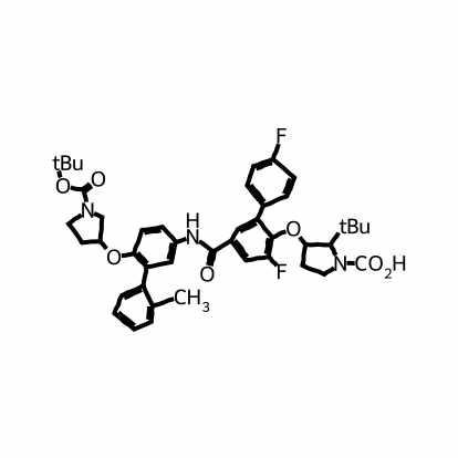 Cc1ccccc1-c1cc(NC(=O)c2cc(F)c(OC3CCN(C(=O)O)C3C(C)(C)C)c(-c3ccc(F)cc3)c2)ccc1OC1CCN(C(=O)OC(C)(C)C)C1